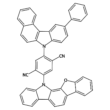 N#Cc1cc(-n2c3ccccc3c3ccc4c5ccccc5oc4c32)c(C#N)cc1-n1c2ccc(-c3ccccc3)cc2c2c3ccccc3ccc21